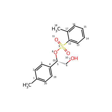 Cc1ccc([C@@H](CO)OS(=O)(=O)c2ccccc2C)cc1